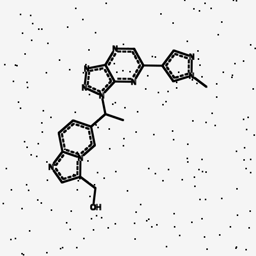 CC(c1ccc2ncc(CO)n2c1)n1nnc2ncc(-c3cnn(C)c3)nc21